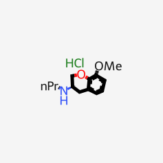 CCCN[C@H]1COc2c(cccc2OC)C1.Cl